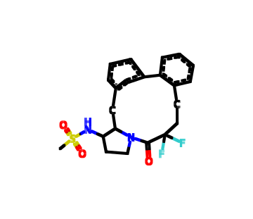 CS(=O)(=O)NC1CCN2C(=O)C(F)(F)CCc3ccccc3-c3cccc(c3)CC12